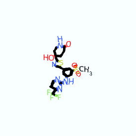 CS(=O)(=O)c1cc(Nc2nccc(C(F)(F)F)n2)cc(-c2cnc(C3(O)CCNC(=O)CC3)s2)c1